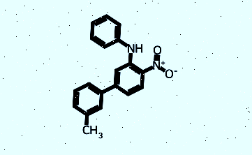 Cc1cccc(-c2ccc([N+](=O)[O-])c(Nc3ccccc3)c2)c1